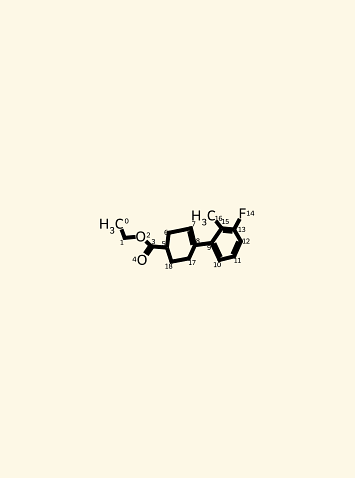 CCOC(=O)C1CC=C(c2cccc(F)c2C)CC1